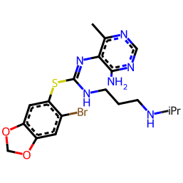 Cc1ncnc(N)c1/N=C(\NCCCNC(C)C)Sc1cc2c(cc1Br)OCO2